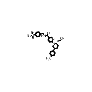 CCS(=O)(=O)c1ccc(CNC(=O)c2ccc(N3CC(c4ccc(C(F)(F)F)cc4)CC[C@H]3CCC#N)nc2)cc1